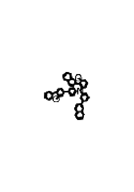 c1cc(-c2ccc3ccccc3c2)cc(N(c2ccc(-c3ccc4c(c3)oc3ccccc34)cc2)c2cccc3oc4c5ccccc5ccc4c23)c1